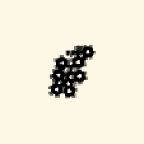 CC1(C)c2ccccc2-c2ccc(N(c3ccccc3)c3cc4c(c5ccccc35)-c3ccccc3C43c4ccccc4-c4ccc(Br)cc43)cc21